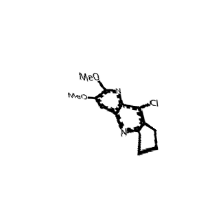 COc1cc2nc3c(c(Cl)c2nc1OC)CCC3